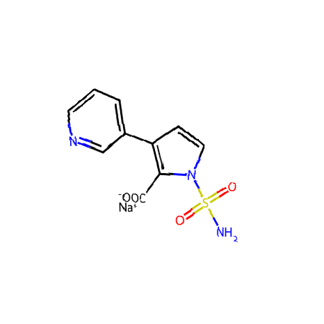 NS(=O)(=O)n1ccc(-c2cccnc2)c1C(=O)[O-].[Na+]